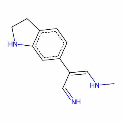 CN/C=C(\C=N)c1ccc2c(c1)NCC2